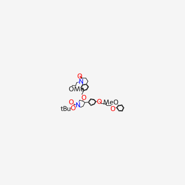 COCCCN1C(=O)CCc2ccc(COC3CN(C(=O)OC(C)(C)C)CCC3c3ccc(OCCCCOc4ccccc4OC)cc3)cc21